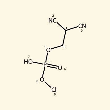 N#CC(C#N)COP(=O)(O)OCl